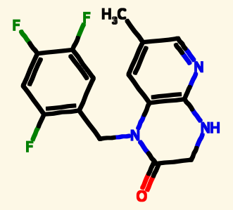 Cc1cnc2c(c1)N(Cc1cc(F)c(F)cc1F)C(=O)CN2